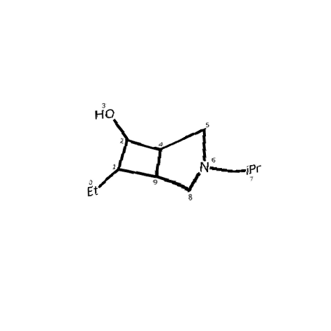 CCC1C(O)C2CN(C(C)C)CC12